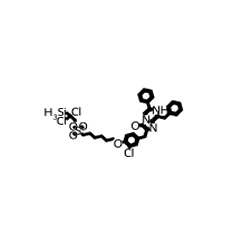 O=c1c(Cc2ccc(OCCCCCCS(=O)(=O)OCC([SiH3])(Cl)Cl)c(Cl)c2)nc2c(Cc3ccccc3)[nH]c(-c3ccccc3)cn1-2